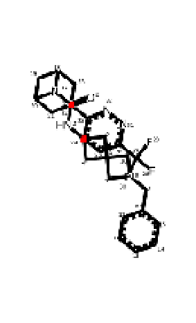 O=C(NC1CC2(C1)CN(Cc1ccccc1)C2)N1C2CC1CN(c1ccc(C(F)(F)F)nn1)C2